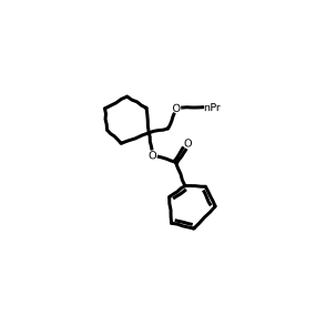 CCCOCC1(OC(=O)c2ccccc2)CCCCC1